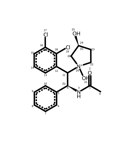 CC(=O)N[C@@H](c1ccccc1)C(c1cccc(Cl)c1Cl)[N+]1(O)CC[C@H](O)C1